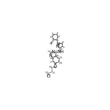 Fc1ccccc1-n1ccc(Nc2ncnc3cc(OCCCCl)ccc23)n1